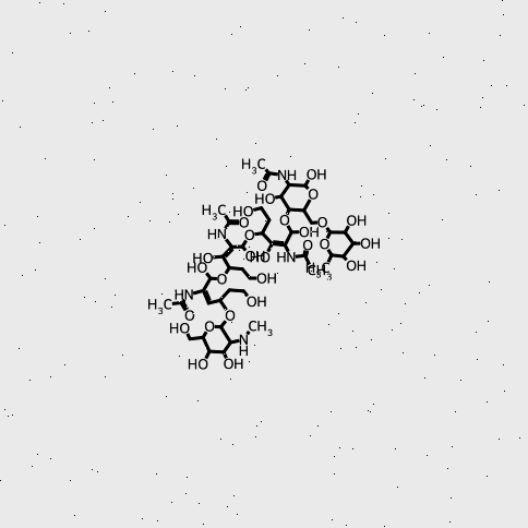 CNC1C(OC(/C=C(/NC(C)=O)C(O)OC(CCO)/C(O)=C(/NC(C)=O)C(O)OC(CCO)/C(O)=C(/NC(C)=O)C(O)OC2C(COC3OC(C)C(O)C(O)C3O)OC(O)C(NC(C)=O)C2O)CCO)OC(CO)C(O)C1O